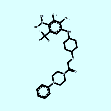 Cc1c(NC2CCC(OCC(=O)N3CCN(c4ccccc4)CC3)CC2)cc(C(F)(F)F)c(N(O)O)c1C